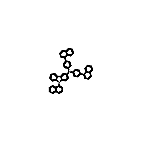 c1ccc2c(-c3ccc(N(c4ccc(-c5cccc6ccccc56)cc4)c4ccc5c(c4)c4ccccc4n5-c4cccc5ccccc45)cc3)cccc2c1